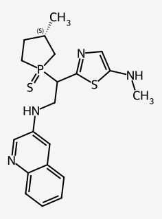 CNc1cnc(C(CNc2cnc3ccccc3c2)P2(=S)CC[C@H](C)C2)s1